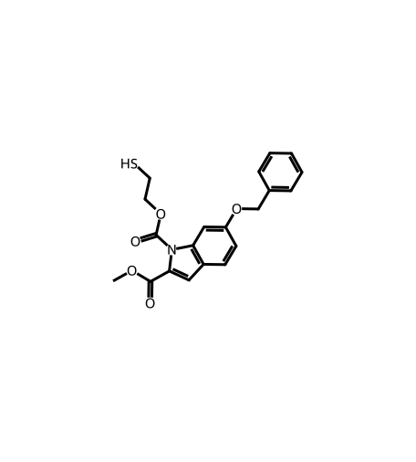 COC(=O)c1cc2ccc(OCc3ccccc3)cc2n1C(=O)OCCS